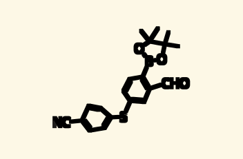 CC1(C)OB(c2ccc(Sc3ccc(C#N)cc3)cc2C=O)OC1(C)C